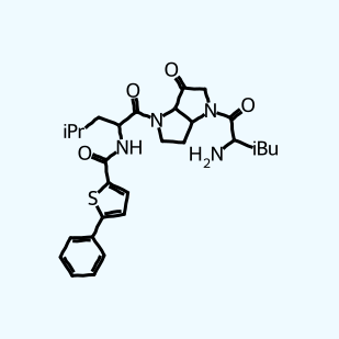 CCC(C)C(N)C(=O)N1CC(=O)C2C1CCN2C(=O)C(CC(C)C)NC(=O)c1ccc(-c2ccccc2)s1